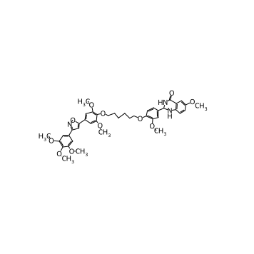 COc1ccc2c(c1)C(=O)NC(c1ccc(OCCCCCCOc3c(OC)cc(-c4cc(-c5cc(OC)c(OC)c(OC)c5)no4)cc3OC)c(OC)c1)N2